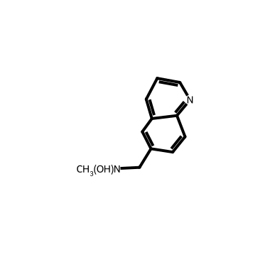 CN(O)Cc1ccc2ncccc2c1